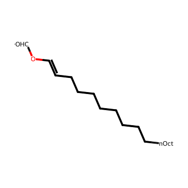 CCCCCCCCCCCCCCCCC=CO[C]=O